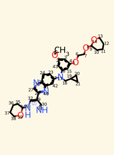 COc1cc(OCCOC2CCCCO2)cc(N(CC2CC2)c2ccc3ncc(/C(C=N)=C/NC4CCCCO4)nc3c2)c1